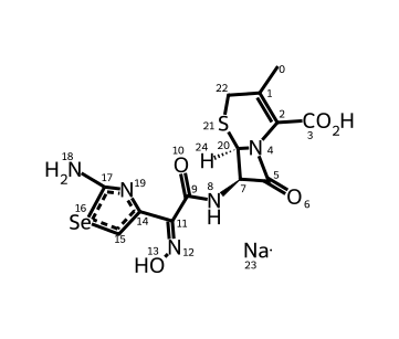 CC1=C(C(=O)O)N2C(=O)[C@@H](NC(=O)C(=NO)c3c[se]c(N)n3)[C@H]2SC1.[Na]